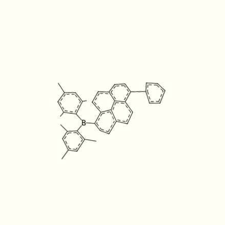 Cc1cc(C)c(B(c2c(C)cc(C)cc2C)c2ccc3ccc4c(-c5ccccc5)ccc5ccc2c3c54)c(C)c1